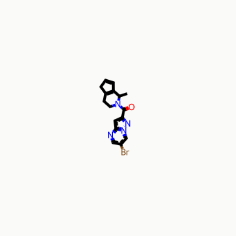 CC1C2=C(CC=C2)CCN1C(=O)c1cc2ncc(Br)cn2n1